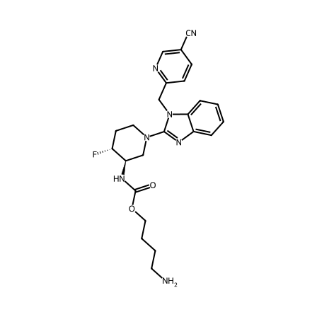 N#Cc1ccc(Cn2c(N3CC[C@@H](F)[C@H](NC(=O)OCCCCN)C3)nc3ccccc32)nc1